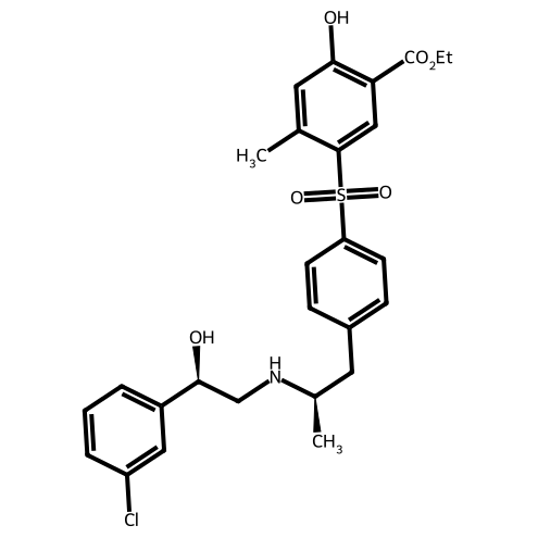 CCOC(=O)c1cc(S(=O)(=O)c2ccc(C[C@@H](C)NC[C@H](O)c3cccc(Cl)c3)cc2)c(C)cc1O